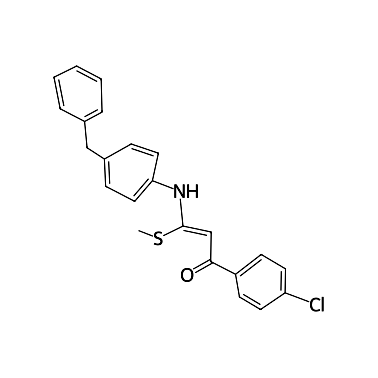 CS/C(=C\C(=O)c1ccc(Cl)cc1)Nc1ccc(Cc2ccccc2)cc1